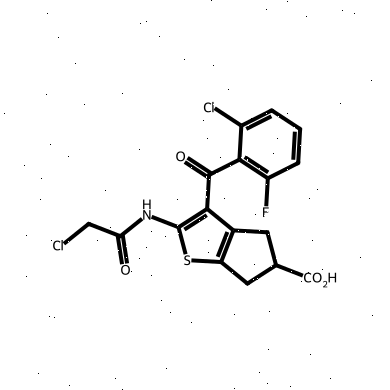 O=C(CCl)Nc1sc2c(c1C(=O)c1c(F)cccc1Cl)CC(C(=O)O)C2